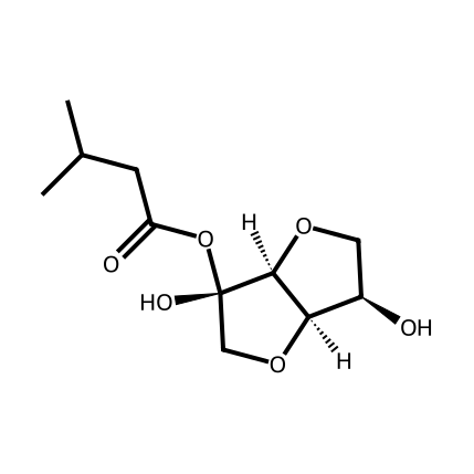 CC(C)CC(=O)O[C@@]1(O)CO[C@@H]2[C@H](O)CO[C@@H]21